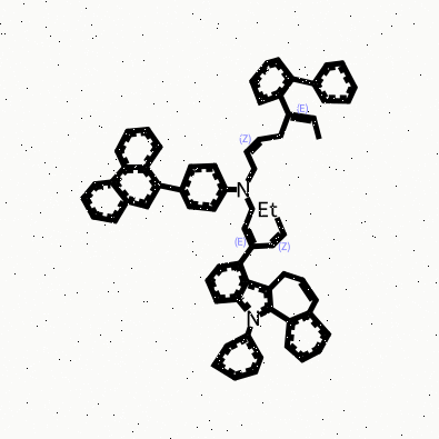 C/C=C(\C/C=C\CN(C/C=C(\C=C/CC)c1cccc2c1c1c(n2-c2ccccc2)-c2ccccc2C=CC1)c1ccc(-c2cc3ccccc3c3ccccc23)cc1)c1ccccc1-c1ccccc1